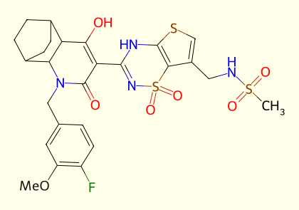 COc1cc(CN2C(=O)C(C3=NS(=O)(=O)c4c(CNS(C)(=O)=O)csc4N3)=C(O)C3C4CCC(CC4)C32)ccc1F